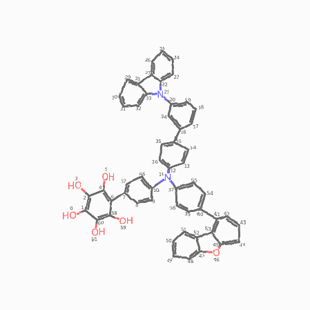 Oc1c(O)c(O)c(-c2ccc(N(c3ccc(-c4cccc(-n5c6ccccc6c6ccccc65)c4)cc3)c3ccc(-c4cccc5oc6ccccc6c45)cc3)cc2)c(O)c1O